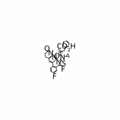 CN1C(=O)CCc2cc(-c3ccc(F)cc3-c3nc(N(C(=O)[C@@H](CC(=O)O)Cc4ccccc4)C4CC4)sc3F)cnc21